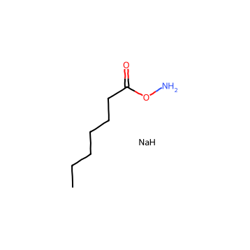 CCCCCCC(=O)ON.[NaH]